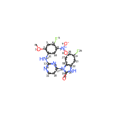 COc1cc(F)c([N+](=O)[O-])cc1Nc1nccc(-n2c(=O)[nH]c3cc(F)ccc32)n1